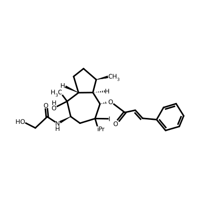 CC(C)C1(I)C[C@@H](NC(=O)CO)C(C)(O)[C@@H]2CC[C@@H](C)[C@H]2[C@@H]1OC(=O)/C=C/c1ccccc1